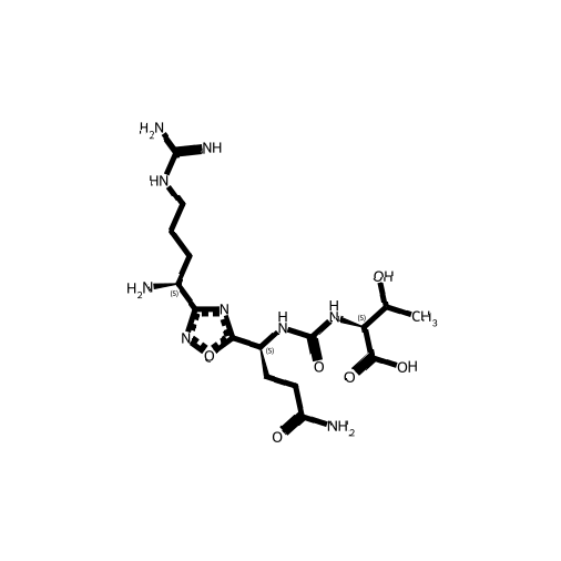 CC(O)[C@H](NC(=O)N[C@@H](CCC(N)=O)c1nc([C@@H](N)CCCNC(=N)N)no1)C(=O)O